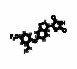 O=C1NC(=O)C([C@@H]2CCc3cc(Oc4ccc(C(F)(F)F)cc4CF)ccc32)S1